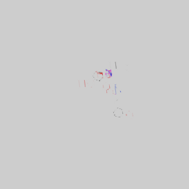 CCOc1cccc(/C=C/C(=O)N(C)C2CC[C@@]3(O)[C@H]4Cc5ccc(O)c6c5[C@@]3(CCN4CC3CC3)C2O6)c1